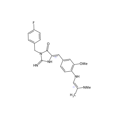 CN/C(C)=C\Nc1ccc(/C=C2\NC(=N)N(Cc3ccc(F)cc3)C2=O)cc1OC